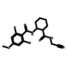 COc1cc(Cl)c(C(=O)NC2CCCCC2C(=O)NCC#N)c(Cl)c1